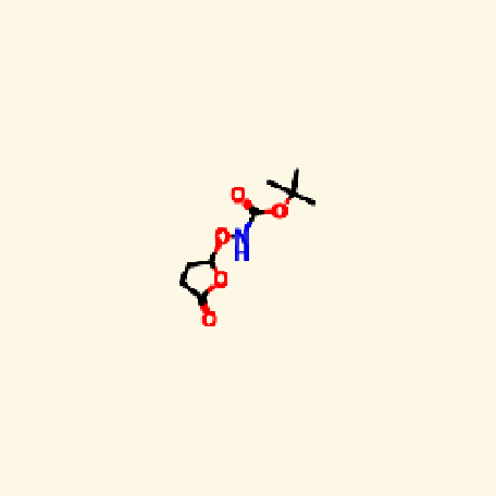 CC(C)(C)OC(=O)NOC1CCC(=O)O1